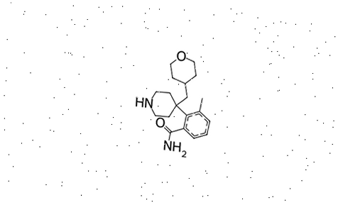 Cc1cccc(C(N)=O)c1C1(CC2CCOCC2)CCNCC1